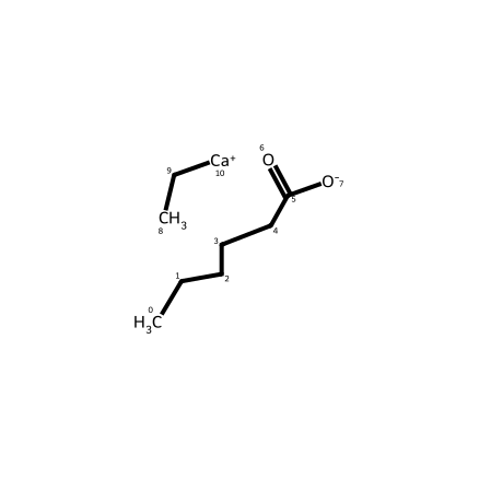 CCCCCC(=O)[O-].C[CH2][Ca+]